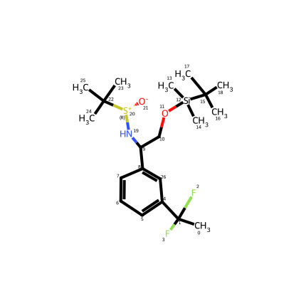 CC(F)(F)c1cccc(C(CO[Si](C)(C)C(C)(C)C)N[S@@+]([O-])C(C)(C)C)c1